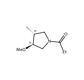 CCC(=O)N1C[C@@H](C)[C@H](OC)C1